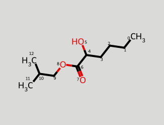 CCCCC(O)C(=O)OCC(C)C